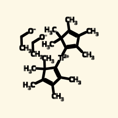 CC1=C(C)C(C)(C)[C]([Ti+2][C]2=C(C)C(C)=C(C)C2(C)C)=C1C.CC[O-].CC[O-]